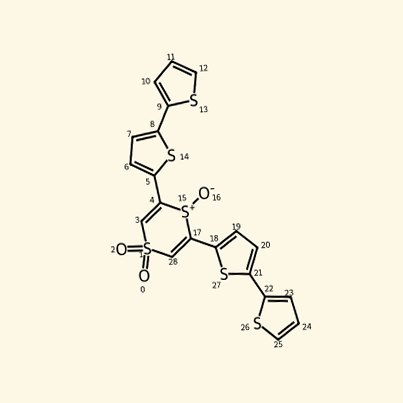 O=S1(=O)C=C(c2ccc(-c3cccs3)s2)[S+]([O-])C(c2ccc(-c3cccs3)s2)=C1